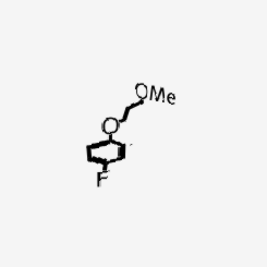 COCCCOc1[c]cc(F)cc1